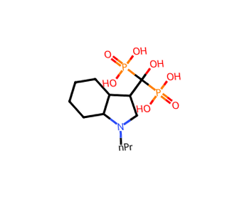 CCCN1CC(C(O)(P(=O)(O)O)P(=O)(O)O)C2CCCCC21